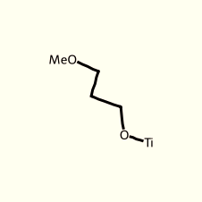 COCCC[O][Ti]